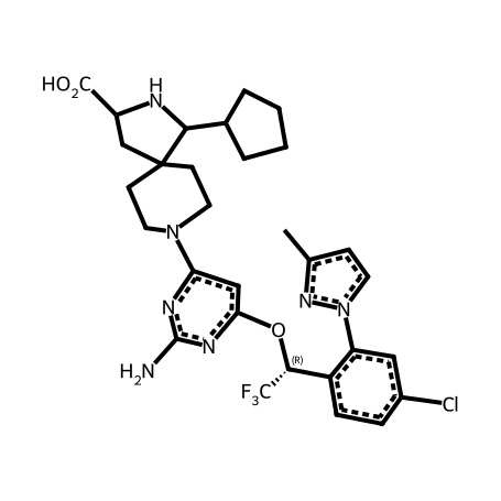 Cc1ccn(-c2cc(Cl)ccc2[C@@H](Oc2cc(N3CCC4(CC3)CC(C(=O)O)NC4C3CCCC3)nc(N)n2)C(F)(F)F)n1